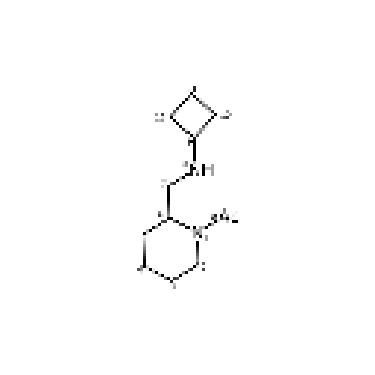 CC(=O)N1CCCCC1CNC1CCC1